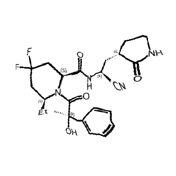 CC[C@H]1CC(F)(F)C[C@@H](C(=O)N[C@H](C#N)C[C@@H]2CCNC2=O)N1C(=O)[C@](C)(O)c1ccccc1